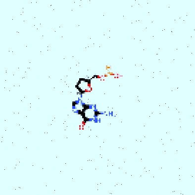 Nc1nc2c(ncn2[C@H]2CC[C@@H](COPO)O2)c(=O)[nH]1